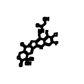 CC[C@@]1(O)C(=O)OCc2c1cc1n(c2=O)Cc2c-1nc1cc(F)c(Cl)c(F)c1c2CNC(=O)CO